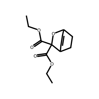 CCOC(=O)C1(C(=O)OCC)OC2C=CC1CC2